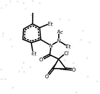 CCc1ccc(C)c(CC)c1N(C(=O)C1(Cl)C(=O)C1=O)N(CC)C(C)=O